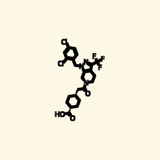 O=C(C[C@H]1CC[C@@H](C(=O)O)CC1)N1CCc2c(C(F)(F)F)nn(Cc3ccc(Cl)cc3Cl)c2C1